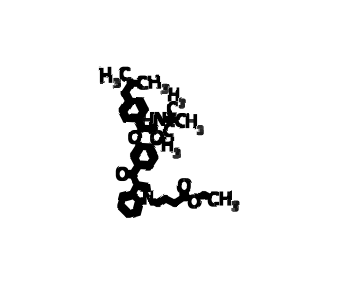 CCOC(=O)CCCn1cc(C(=O)c2cccc(OC(C(=O)NC(C)(C)C)c3ccc(CC(C)C)cc3)c2)c2ccccc21